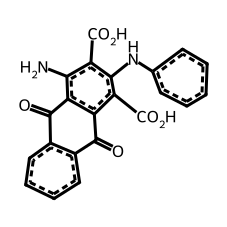 Nc1c(C(=O)O)c(Nc2ccccc2)c(C(=O)O)c2c1C(=O)c1ccccc1C2=O